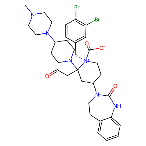 CN1CCN(C2CCN(C3(CC=O)CC(N4CCc5ccccc5NC4=O)CC[N@+]3(Cc3ccc(Br)c(Br)c3)C(=O)[O-])CC2)CC1